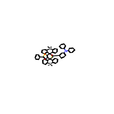 C[Si]1(C)c2ccccc2C2(c3ccccc31)c1cc(-c3cccc(N(c4ccccc4)c4ccccc4)c3)sc1C1(c3ccccc3[Si](C)(C)c3ccccc31)c1cc(-c3ccccc3)sc12